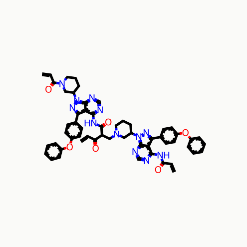 C=CC(=O)Nc1ncnc2c1c(-c1ccc(Oc3ccccc3)cc1)nn2C1CCCN(CC(C(=O)C=C)C(=O)Nc2ncnc3c2c(-c2ccc(Oc4ccccc4)cc2)nn3C2CCCN(C(=O)C=C)C2)C1